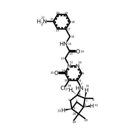 C[C@@H]1[C@H]2C[C@@H](C[C@H]1Nc1cnn(CC(=O)NCc3cccc(N)c3)c(=O)c1Cl)C2(C)C